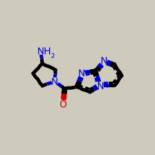 NC1CCN(C(=O)c2cn3cccnc3n2)C1